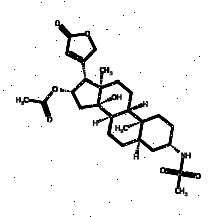 CC(=O)O[C@H]1C[C@]2(O)[C@@H]3CC[C@@H]4C[C@@H](NS(C)(=O)=O)CC[C@]4(C)[C@H]3CC[C@]2(C)[C@H]1C1=CC(=O)OC1